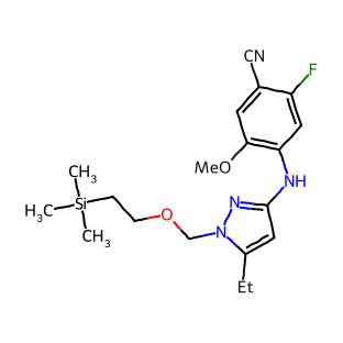 CCc1cc(Nc2cc(F)c(C#N)cc2OC)nn1COCC[Si](C)(C)C